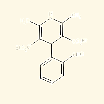 CCOC(=O)C1=C(C)NC(C)=C(C(=O)OCC)C1c1ccccc1C=O